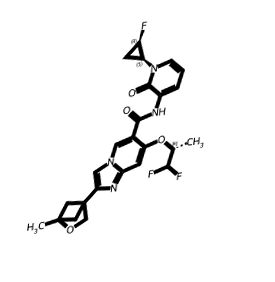 C[C@@H](Oc1cc2nc(C34COC(C)(C3)C4)cn2cc1C(=O)Nc1cccn([C@H]2C[C@H]2F)c1=O)C(F)F